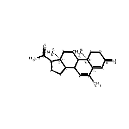 CC(=O)C1CCC2C3C=C(C)C4=CC(=O)CC[C@]4(C)C3CC[C@]12C